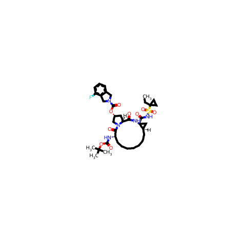 CCC1(S(=O)(=O)NC(=O)[C@@]23C[C@H]2CCCCCCC[C@H](NC(=O)OC(C)(C)C)C(=O)N2C[C@H](OC(=O)N4Cc5cccc(F)c5C4)C[C@H]2C(=O)N3)CC1